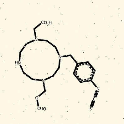 O=COCN1CCNCCN(CC(=O)O)CCN(Cc2ccc(N=C=S)cc2)CC1